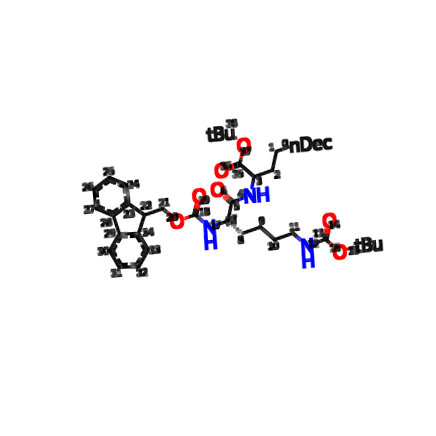 CCCCCCCCCCCCC(NC(=O)[C@H](CCCCNC(=O)OC(C)(C)C)NC(=O)OCC1c2ccccc2-c2ccccc21)C(=O)OC(C)(C)C